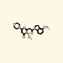 Cc1cccc2c1CCN2C(=O)Cc1nc(N2CCOCC2)cc(=O)n1C